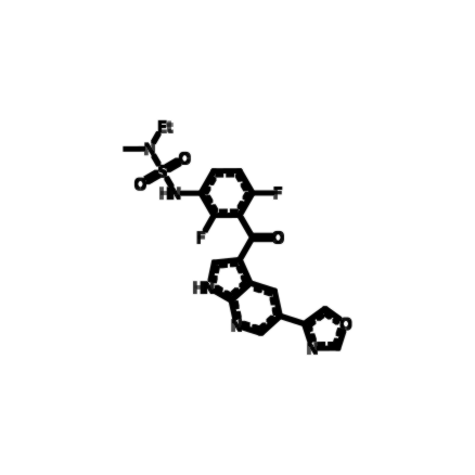 CCN(C)S(=O)(=O)Nc1ccc(F)c(C(=O)c2c[nH]c3ncc(-c4cocn4)cc23)c1F